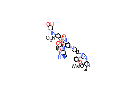 COc1cc(CN2CCN(C3CC4(CCN(c5ccc(C(=O)NS(=O)(=O)c6ccc(NC[C@H]7CC[C@](C)(O)CC7)c([N+](=O)[O-])c6)c(N6c7cc8cc[nH]c8nc7O[C@H]7COCC[C@@H]76)c5)CC4)C3)[C@@H](c3ccccc3OC(C)C)C2)cnc1C1CC1